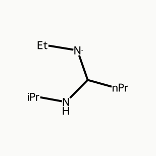 CCCC([N]CC)NC(C)C